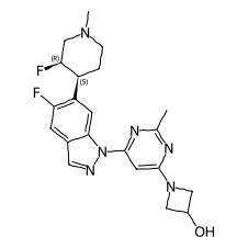 Cc1nc(N2CC(O)C2)cc(-n2ncc3cc(F)c([C@@H]4CCN(C)C[C@@H]4F)cc32)n1